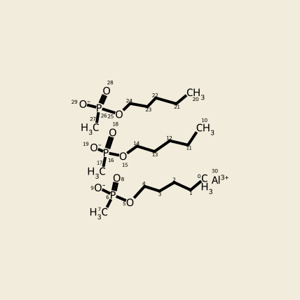 CCCCCOP(C)(=O)[O-].CCCCCOP(C)(=O)[O-].CCCCCOP(C)(=O)[O-].[Al+3]